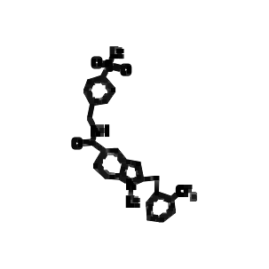 CCn1c(Cc2ccccc2C(F)(F)F)cc2cc(C(=O)NCc3ccc(S(=O)(=O)CC)cc3)ccc21